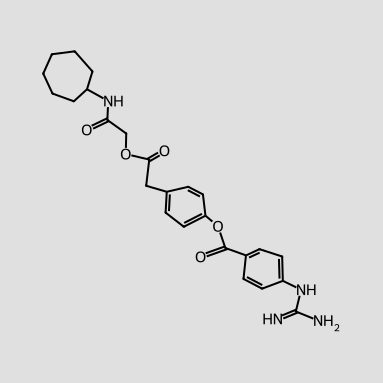 N=C(N)Nc1ccc(C(=O)Oc2ccc(CC(=O)OCC(=O)NC3CCCCCC3)cc2)cc1